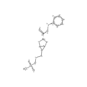 CS(=O)(=O)OCCC1C2CN(C(=O)OCc3ccccc3)CC12